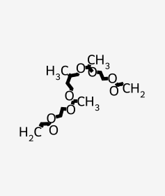 C=CC(=O)OCCOC(C)OCCC(C)COC(C)OCCOC(=O)C=C